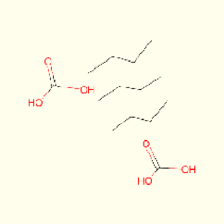 CCCC.CCCC.CCCC.O=C(O)O.O=C(O)O